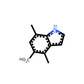 Cc1c(C(=O)O)cc(C)c2[nH]ccc12